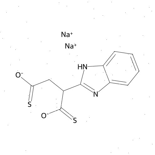 [Na+].[Na+].[O-]C(=S)CC(C([O-])=S)c1nc2ccccc2[nH]1